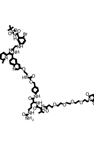 Cc1cccc(-c2nc(CNc3ccc(Br)c(C(=O)NS(=O)(=O)C(C)(C)C)c3)[nH]c2-c2ccc3ncc(OCCNC(=O)OCc4ccc(NC(=O)C(CCCNC(N)=O)NC(=O)C(NC(=O)CCOCCOCCOCCOCCN5C(=O)C=CC5=O)C(C)C)cc4)cc3c2)n1